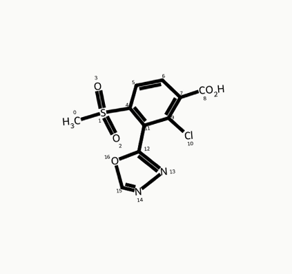 CS(=O)(=O)c1ccc(C(=O)O)c(Cl)c1-c1nnco1